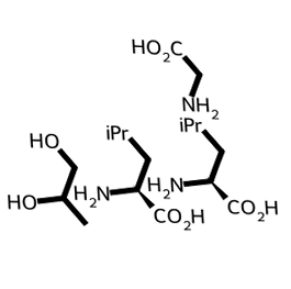 CC(C)C[C@H](N)C(=O)O.CC(C)C[C@H](N)C(=O)O.CC(O)CO.NCC(=O)O